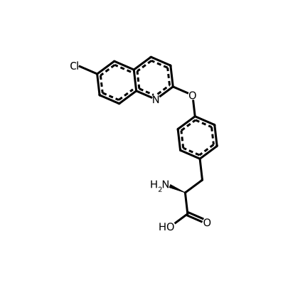 N[C@@H](Cc1ccc(Oc2ccc3cc(Cl)ccc3n2)cc1)C(=O)O